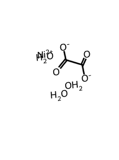 O.O.O.O=C([O-])C(=O)[O-].[Ni+2]